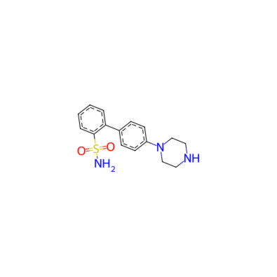 NS(=O)(=O)c1ccccc1-c1ccc(N2CCNCC2)cc1